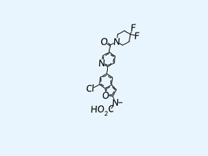 CN(C(=O)O)c1cc2cc(-c3ccc(C(=O)N4CCC(F)(F)CC4)cn3)cc(Cl)c2o1